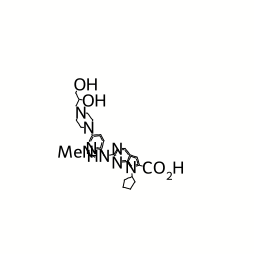 CNC.O=C(O)c1cc2cnc(Nc3ccc(N4CCN(CC(O)CO)CC4)cn3)nc2n1C1CCCC1